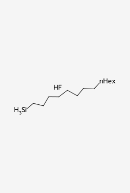 CCCCCCCCCCCCCC[SiH3].F